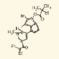 CCN(CC)C(=O)[C@@H]1C=C2c3cccc4c3c(c(Br)n4OC(=O)C(C)(C)CC)C[C@H]2N(C)C1